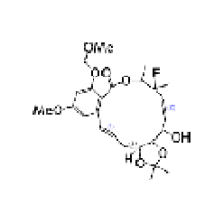 COCOc1cc(OC)cc2c1C(=O)OC(C)C(C)(F)/C=C\C(O)C1OC(C)(C)O[C@H]1C/C=C/2